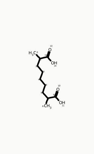 CC(CCCCCC(C)C(=O)O)C(=O)O